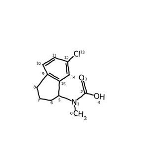 CN(C(=O)O)C1CCCc2ccc(Cl)cc21